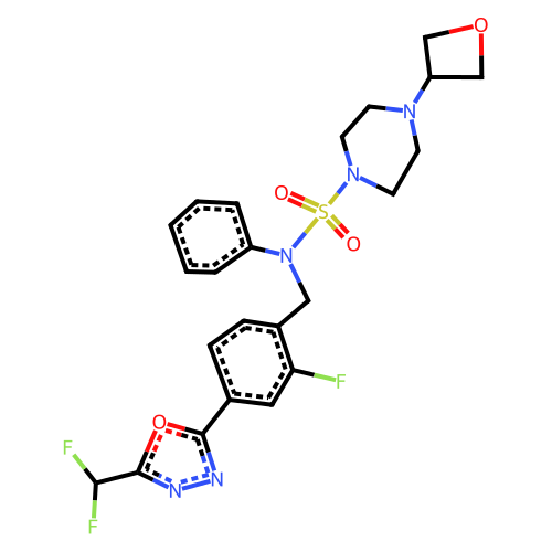 O=S(=O)(N1CCN(C2COC2)CC1)N(Cc1ccc(-c2nnc(C(F)F)o2)cc1F)c1ccccc1